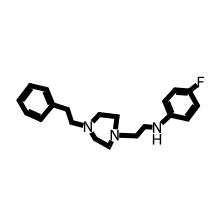 Fc1ccc(NCCN2CCN(CCc3ccccc3)CC2)cc1